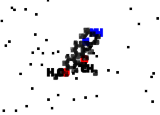 COc1ccc(-c2ccc3c(c2)cc2n3CCNCC2)c(C(C)=O)c1